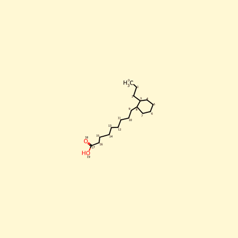 CCCC1CCCCC1CCCCCCCCC(=O)O